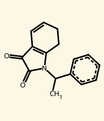 CC(c1ccccc1)N1C(=O)C(=O)C2=C1CCC=C2